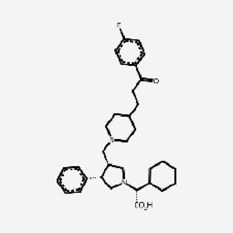 O=C(CCC1CCN(C[C@H]2CN([C@@H](C(=O)O)C3CCCCC3)C[C@@H]2c2ccccc2)CC1)c1ccc(F)cc1